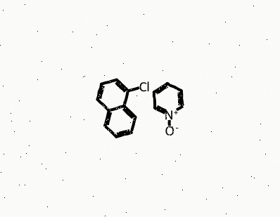 Clc1cccc2ccccc12.[O-][n+]1ccccc1